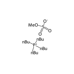 CCCC[P+](CCCC)(CCCC)CCCC.COS(=O)(=O)[O-]